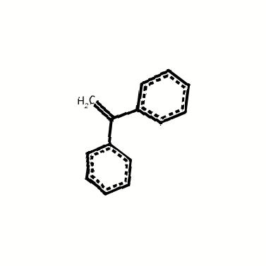 C=C(c1[c]cccc1)c1ccccc1